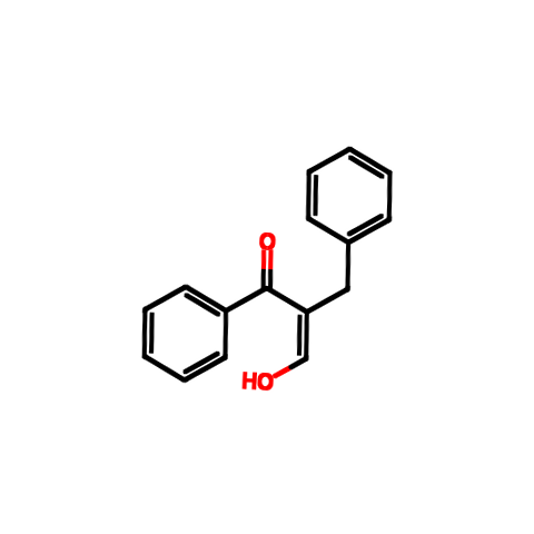 O=C(C(=CO)Cc1ccccc1)c1ccccc1